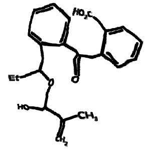 C=C(C)C(O)OC(CC)c1ccccc1C(=O)c1ccccc1C(=O)O